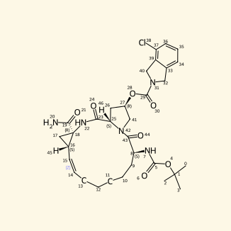 CC(C)(C)OC(=O)N[C@H]1CCCCC/C=C\[C@@H]2C[C@@]2(C(N)=O)NC(=O)[C@@H]2C[C@@H](OC(=O)N3Cc4cccc(Cl)c4C3)CN2C1=O